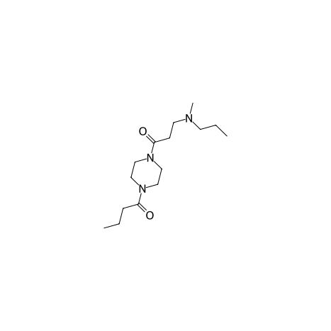 CCCC(=O)N1CCN(C(=O)CCN(C)CCC)CC1